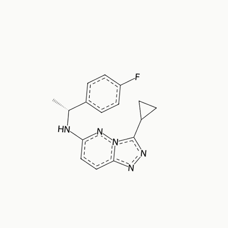 C[C@@H](Nc1ccc2nnc(C3CC3)n2n1)c1ccc(F)cc1